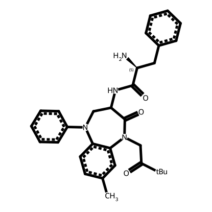 Cc1ccc2c(c1)N(CC(=O)C(C)(C)C)C(=O)C(NC(=O)[C@@H](N)Cc1ccccc1)CN2c1ccccc1